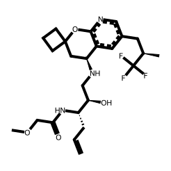 C=CC[C@H](NC(=O)COC)[C@H](O)CN[C@H]1CC2(CCC2)Oc2ncc(C[C@@H](C)C(F)(F)F)cc21